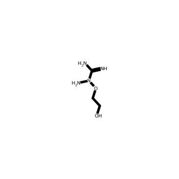 N=C(N)N(N)OCCO